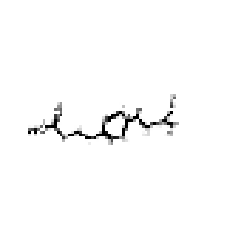 O=C(O)CCCc1ccc(CCC(F)F)cc1